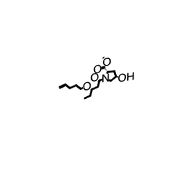 C=CCCCOC(CC)CC(=O)N1C[C@H](O)C[C@H]1C(=O)OC